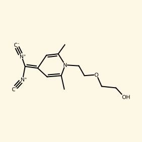 [C-]#[N+]C([N+]#[C-])=C1C=C(C)N(CCOCCO)C(C)=C1